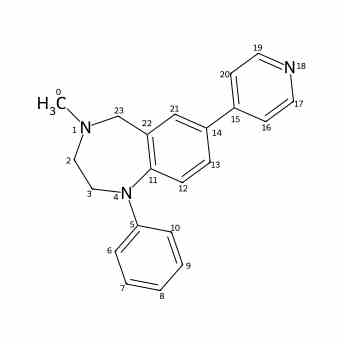 CN1CCN(c2ccccc2)c2ccc(-c3ccncc3)cc2C1